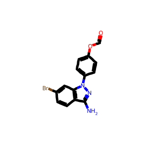 Nc1nn(-c2ccc(OC=O)cc2)c2cc(Br)ccc12